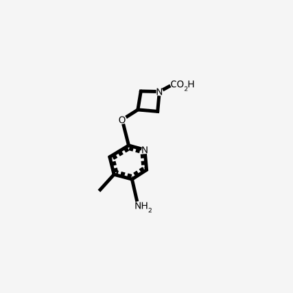 Cc1cc(OC2CN(C(=O)O)C2)ncc1N